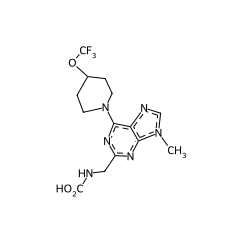 Cn1cnc2c(N3CCC(OC(F)(F)F)CC3)nc(CNC(=O)O)nc21